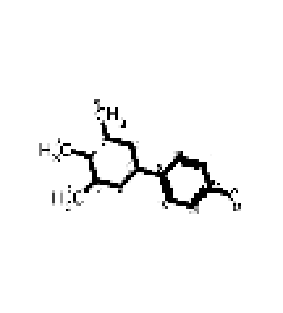 CCCC(CC(C)CC)c1ccc(Cl)cc1